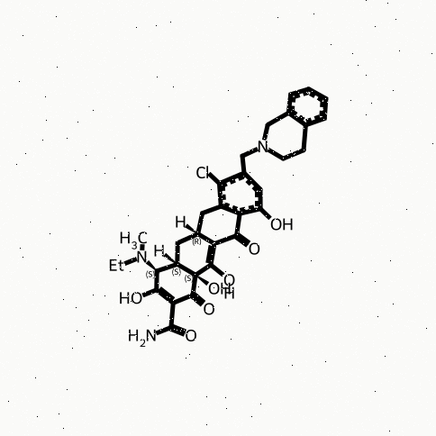 CCN(C)[C@@H]1C(O)=C(C(N)=O)C(=O)[C@@]2(O)C(O)=C3C(=O)c4c(O)cc(CN5CCc6ccccc6C5)c(Cl)c4C[C@H]3C[C@@H]12